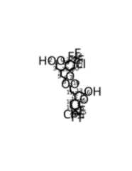 O=C(O)CC(CC(=O)OC(=O)CC(CC(=O)O)C1C=CC(Cl)(C(F)(F)F)C=C1)C1C=CC(Cl)(C(F)(F)F)C=C1